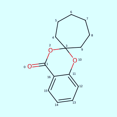 O=C1OC2(CCCCCC2)Oc2ccccc21